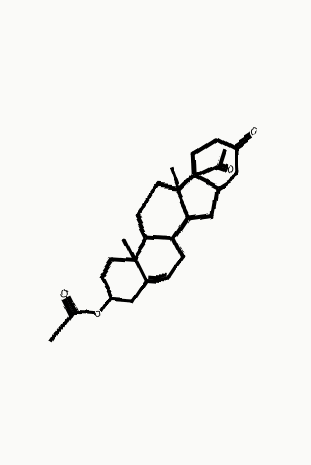 CC(=O)OC1CCC2(C)C(=CCC3C2CCC2(C)C3CC3CC(=O)CCC32C(C)=O)C1